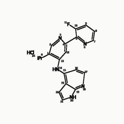 CC(C)c1cnc(-c2ncccc2F)cc1Nc1ccnc2[nH]ccc12.Cl